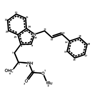 CC(C)(C)OC(=O)NC(C=O)Cc1cn(C/C=C/c2ccccc2)c2ccccc12